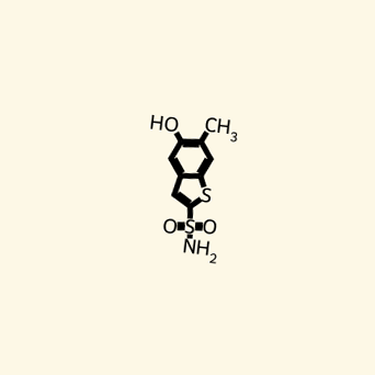 Cc1cc2sc(S(N)(=O)=O)cc2cc1O